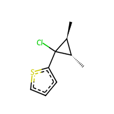 C[C@H]1[C@H](C)C1(Cl)c1cccs1